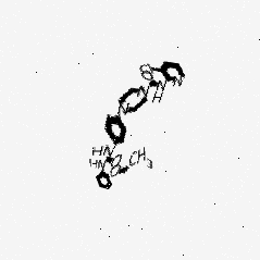 CCOc1ccccc1NC(=O)Nc1ccc(N2CCN(C(=O)Nc3ncccc3Cl)CC2)cc1